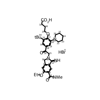 Br.CCOc1cc2c(cc1C(=O)NC)C(=N)N(CC(=O)c1cc(N3CCCCC3)c(OCCCC(=O)O)c(C(C)(C)C)c1)C2